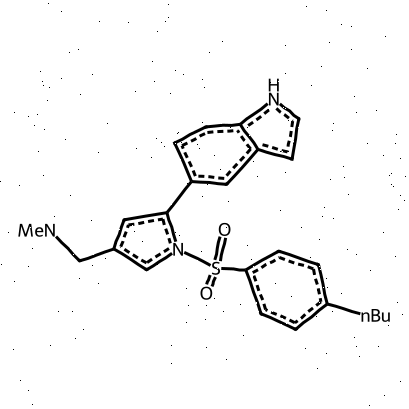 CCCCc1ccc(S(=O)(=O)n2cc(CNC)cc2-c2ccc3[nH]ccc3c2)cc1